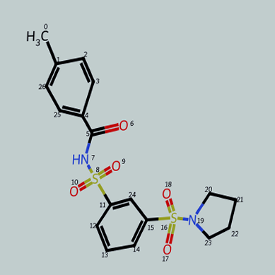 Cc1ccc(C(=O)NS(=O)(=O)c2cccc(S(=O)(=O)N3CCCC3)c2)cc1